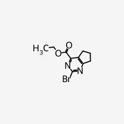 CCOC(=O)c1nc(Br)nc2c1CCC2